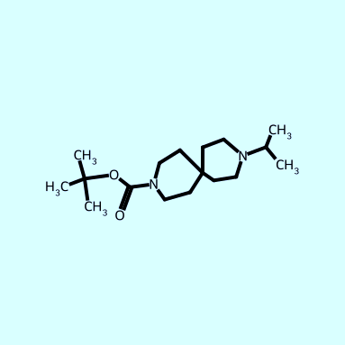 CC(C)N1CCC2(CCN(C(=O)OC(C)(C)C)CC2)CC1